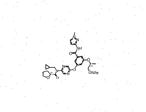 COC[C@H](C)Oc1cc(Oc2cnc(N(CC3CC3)C(=O)[C@@H]3CCCO3)cn2)cc(C(=O)Nc2ccn(C)n2)c1